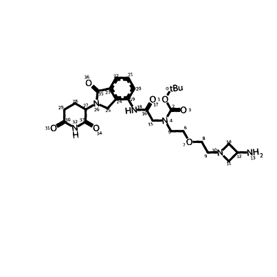 CC(C)(C)OC(=O)N(CCOCCN1CC(N)C1)CC(=O)Nc1cccc2c1CN(C1CCC(=O)NC1=O)C2=O